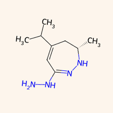 CC(C)C1=CC(NN)=NN[C@@H](C)C1